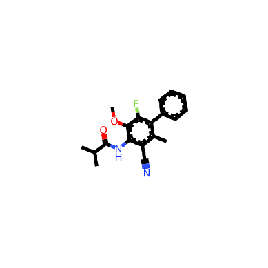 COc1c(F)c(-c2ccccc2)c(C)c(C#N)c1NC(=O)C(C)C